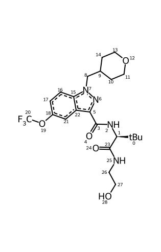 CC(C)(C)[C@H](NC(=O)c1nn(CC2CCOCC2)c2ccc(OC(F)(F)F)cc12)C(=O)NCCO